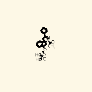 CC(=O)N1N=C(c2ccccc2)CC1(CCOCOP(=O)(O)O)c1ccccc1